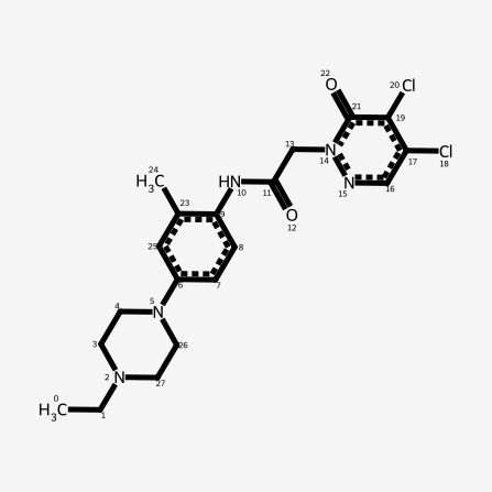 CCN1CCN(c2ccc(NC(=O)Cn3ncc(Cl)c(Cl)c3=O)c(C)c2)CC1